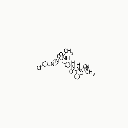 CCC(=O)NC(Cc1ccc(NC(=O)C(NC(=O)c2ccnn2C)C2CCCCC2)cc1)C(=O)N1CCN(Cc2cccc(Cl)c2)CC1